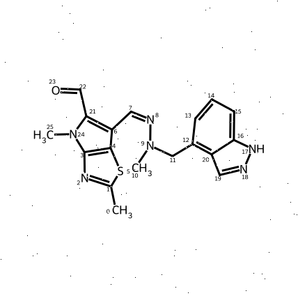 Cc1nc2c(s1)c(/C=N\N(C)Cc1cccc3[nH]ncc13)c(C=O)n2C